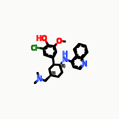 COc1cc(C2C[C@H](CN(C)C)CC[C@H]2Nc2ccnc3ccccc23)cc(Cl)c1O